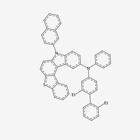 CCc1ccccc1-c1ccc(N(c2ccccc2)c2ccc3c(c2)c2c4c(ccc2n3-c2ccc3ccccc3c2)sc2ccccc24)cc1CC